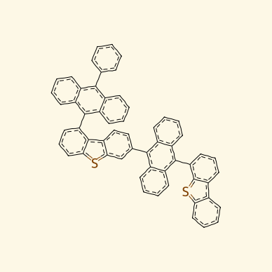 c1ccc(-c2c3ccccc3c(-c3cccc4sc5cc(-c6c7ccccc7c(-c7cccc8c7sc7ccccc78)c7ccccc67)ccc5c34)c3ccccc23)cc1